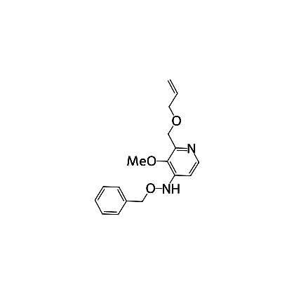 C=CCOCc1nccc(NOCc2ccccc2)c1OC